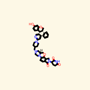 O=C1CCC(N2Cc3c(ccc4c3OC[C@H]3CN(CC5CCN(c6ccc([C@@H]7c8ccc(O)cc8OC[C@@H]7c7ccccc7)cn6)CC5)CCN43)C2=O)C(=O)N1